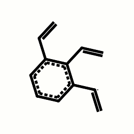 C=[C]c1cccc(C=C)c1C=C